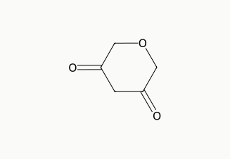 O=C1COCC(=O)C1